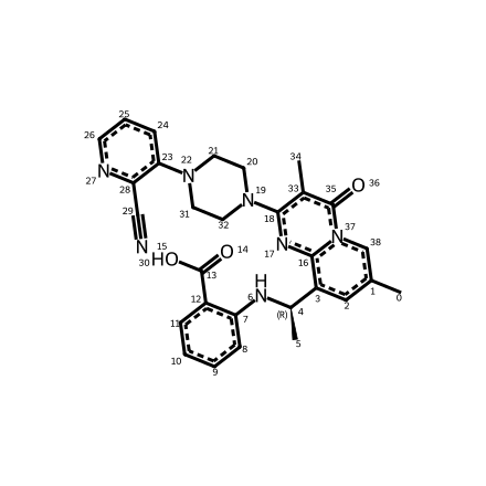 Cc1cc([C@@H](C)Nc2ccccc2C(=O)O)c2nc(N3CCN(c4cccnc4C#N)CC3)c(C)c(=O)n2c1